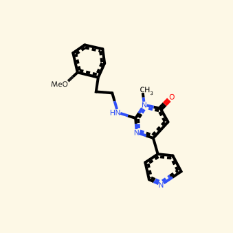 COc1ccccc1CCNc1nc(-c2ccncc2)cc(=O)n1C